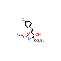 CCOC(=O)C(C(O)/C=C/c1ccc(Cl)cc1)N(C)C(=O)OC(C)(C)C